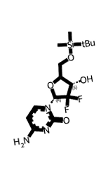 CC(C)(C)[Si](C)(C)OCC1O[C@@H](n2ccc(N)nc2=O)C(F)(F)[C@H]1O